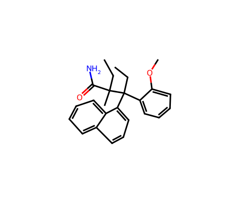 CCC(C)(C(N)=O)C(CC)(c1ccccc1OC)c1cccc2ccccc12